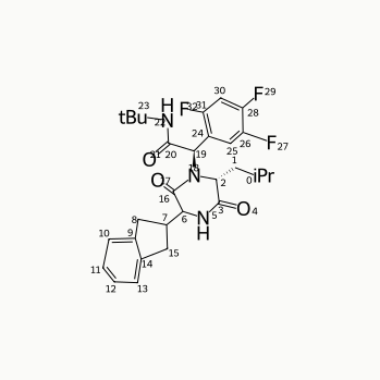 CC(C)C[C@@H]1C(=O)NC(C2Cc3ccccc3C2)C(=O)N1[C@@H](C(=O)NC(C)(C)C)c1cc(F)c(F)cc1F